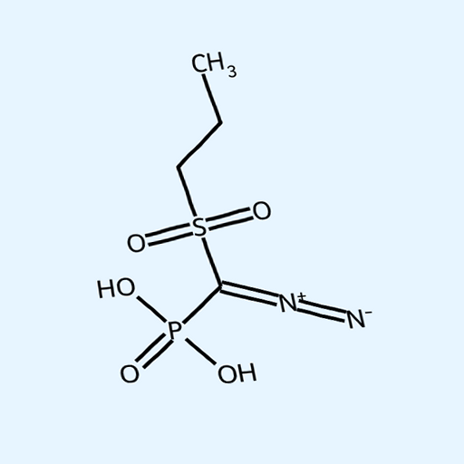 CCCS(=O)(=O)C(=[N+]=[N-])P(=O)(O)O